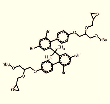 CCCCOCC(COc1ccc(-c2c(Br)cc(Br)cc2C(C)(C)c2cc(Br)cc(Br)c2-c2ccc(OCC(COCCCC)OCC3CO3)cc2)cc1)OCC1CO1